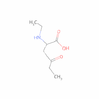 CCNC(CC(=O)CC)C(=O)O